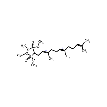 COP(=O)(OC)C(C/C=C(\C)CC/C=C(\C)CCC=C(C)C)P(=O)(OC)OC